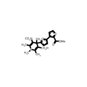 COC(=O)c1sccc1-c1ccc(C2(C)C(C(=O)O)=C(C)N(C)C(C)=C2C(=O)O)o1